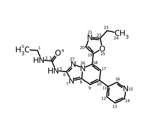 CCNC(=O)Nc1nc2cc(-c3cccnc3)cc(-c3cnc(CC)o3)n2n1